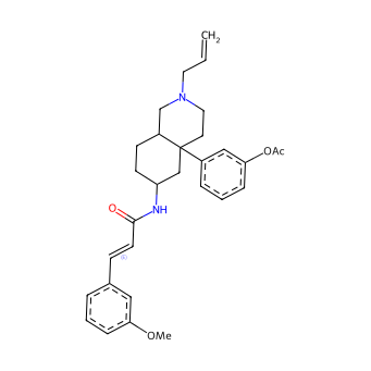 C=CCN1CCC2(c3cccc(OC(C)=O)c3)CC(NC(=O)/C=C/c3cccc(OC)c3)CCC2C1